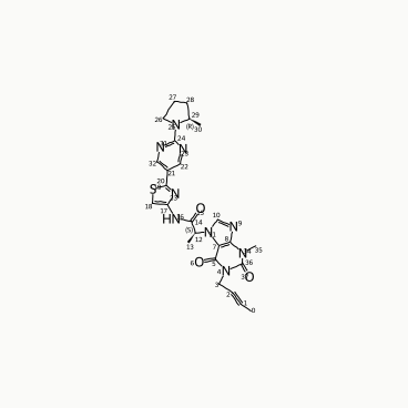 CC#CCn1c(=O)c2c(ncn2[C@@H](C)C(=O)Nc2csc(-c3cnc(N4CCC[C@H]4C)nc3)n2)n(C)c1=O